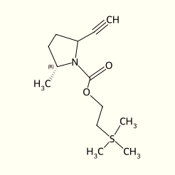 C#CC1CC[C@@H](C)N1C(=O)OCCS(C)(C)C